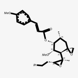 COc1ccc(C=CC(=O)O[C@H]2[C@@H](OC)[C@H]([C@@]3(C)O[C@@H]3CCC(C)C)[C@@]3(CO3)C[C@H]2C)cc1